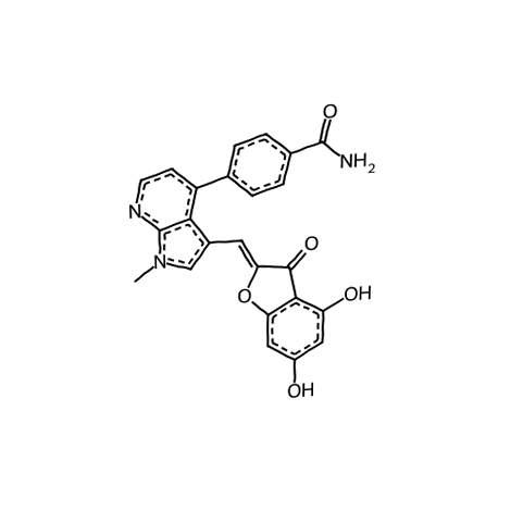 Cn1cc(C=C2Oc3cc(O)cc(O)c3C2=O)c2c(-c3ccc(C(N)=O)cc3)ccnc21